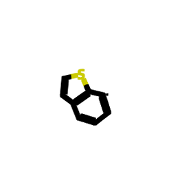 [c]1cccc2ccsc12